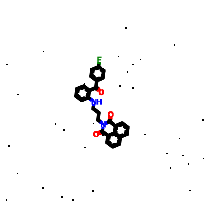 O=C(c1ccc(F)cc1)c1ccccc1NCCCN1C(=O)c2cccc3cccc(c23)C1=O